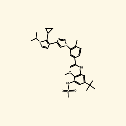 C=C(Nc1cc(C(C)(C)C)cc(NS(C)(=O)=O)c1OC)c1ccc(C)c(-n2cc(-c3cnn(C(C)C)c3C3CC3)nn2)c1